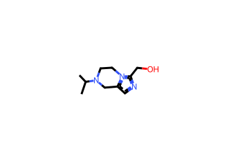 CC(C)N1CCn2c(cnc2CO)C1